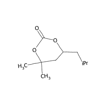 CC(C)CC1CC(C)(C)OC(=O)O1